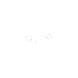 Cc1nccn1CCCOc1ccccc1O